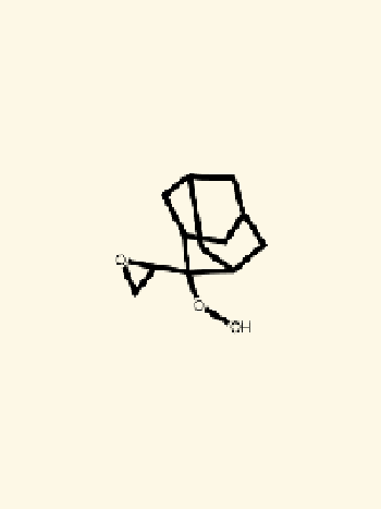 OOC1(C2CO2)C2CC3CC(C2)CC1C3